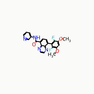 COc1cc(OC)c(F)c(-c2ccc(C(=O)Nc3cccnc3)c3nccnc23)c1F